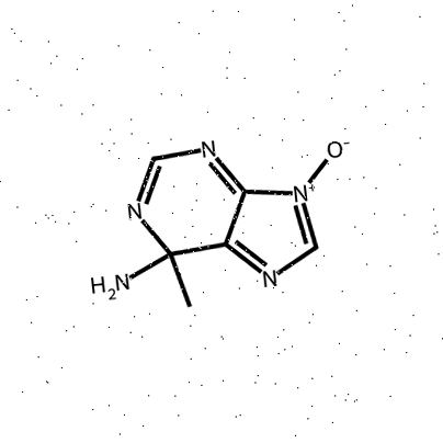 CC1(N)N=CN=C2C1=NC=[N+]2[O-]